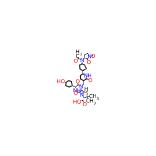 CC(=O)N(c1ccc(-c2ccc(CN(C(=O)C(N)c3ccc(O)cc3)[C@@H]3C(=O)N4[C@@H]3SC(C)(C)[C@@H]4C(=O)O)c(=O)[nH]2)cc1)C1CC[N+](=O)C1=O